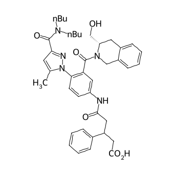 CCCCN(CCCC)C(=O)c1cc(C)n(-c2ccc(NC(=O)CC(CC(=O)O)c3ccccc3)cc2C(=O)N2Cc3ccccc3C[C@H]2CO)n1